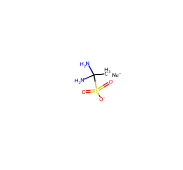 CC(N)(N)S(=O)(=O)[O-].[Na+]